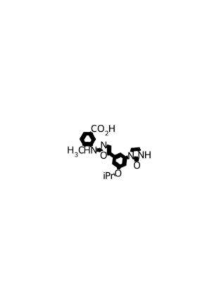 Cc1ccc(C(=O)O)cc1Nc1ncc(-c2cc(OC(C)C)cc(N3CCNC3=O)c2)o1